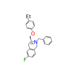 CCc1ccc(OC[C@@H]2Cc3cc(F)ccc3CN2Cc2ccccc2)cc1